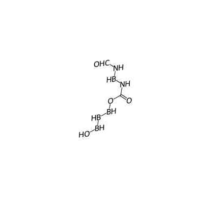 O=CNBNC(=O)OBBBO